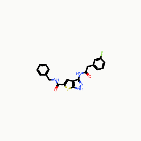 O=C(Cc1cccc(F)c1)Nc1n[nH]c2sc(C(=O)NCc3ccccc3)cc12